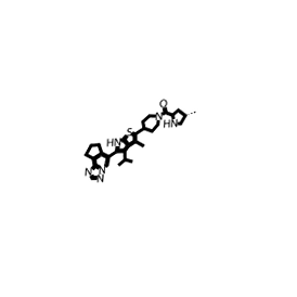 Cc1c(C2CCN(C(=O)C3C[C@H](C)CN3)CC2)sc2[nH]c(-c3cn4ncnc4c4c3CCC4)c(C(C)C)c12